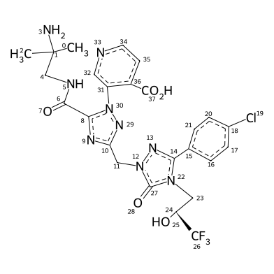 CC(C)(N)CNC(=O)c1nc(Cn2nc(-c3ccc(Cl)cc3)n(C[C@H](O)C(F)(F)F)c2=O)nn1-c1cnccc1C(=O)O